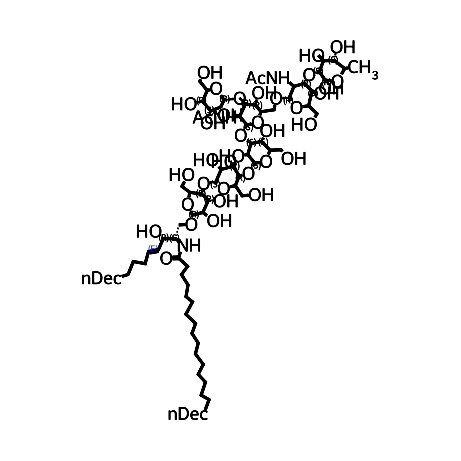 CCCCCCCCCCCCC/C=C/[C@@H](O)[C@H](CO[C@@H]1OC(CO)[C@@H](O[C@@H]2OC(CO)[C@H](O[C@@H]3OC(CO)[C@H](O)[C@H](O[C@@H]4OC(CO[C@@H]5OC(CO)[C@@H](O)[C@H](O[C@H]6C(O)[C@H](O)C(C)O[C@H]6O)C5NC(C)=O)[C@H](O)[C@H](O[C@@H]5OC(CO)[C@H](O)[C@H](O)C5O)C4NC(C)=O)C3O)[C@H](O)C2O)[C@H](O)C1O)NC(=O)CCCCCCCCCCCCCCCCCCCCCCCCC